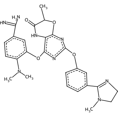 CC1Oc2nc(Oc3cccc(C4=NCCN4C)c3)nc(Oc3cc(C(=N)N)ccc3N(C)C)c2NC1=O